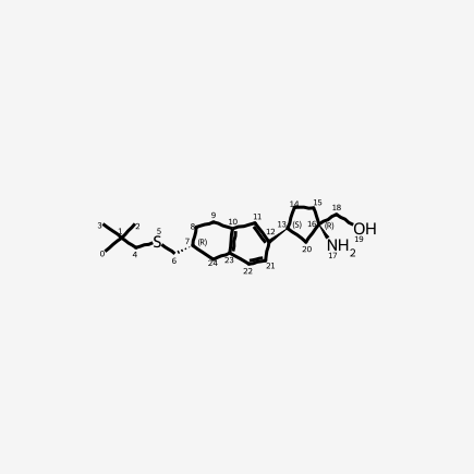 CC(C)(C)CSC[C@@H]1CCc2cc([C@H]3CC[C@](N)(CO)C3)ccc2C1